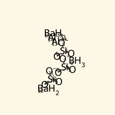 B.O=[Si]([O-])[O-].O=[Si]([O-])[O-].O=[Si]([O-])[O-].[Al+3].[Al+3].[BaH2].[BaH2]